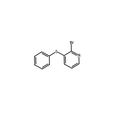 Brc1ncccc1Sc1ccccc1